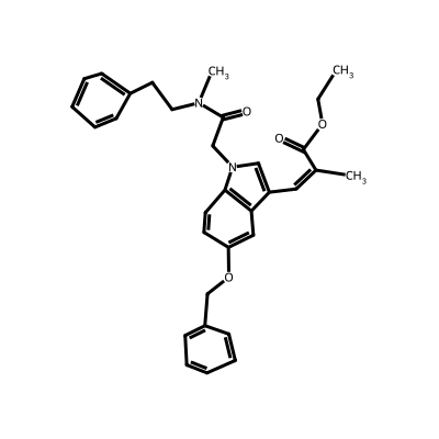 CCOC(=O)/C(C)=C\c1cn(CC(=O)N(C)CCc2ccccc2)c2ccc(OCc3ccccc3)cc12